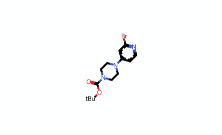 CC(C)(C)OC(=O)N1CCN(c2ccnc(Br)c2)CC1